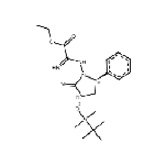 CCOC(=O)C(=N)NN1C(=O)[C@@H](O[Si](C)(C)C(C)(C)C)C[C@@H]1c1ccccc1